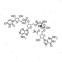 CN(C)C(=O)C[C@H]1[C@@H](O)[C@H](n2c[n+](C)c3c(=O)[nH]c(N)nc32)O[C@@H]1COP(=O)(O)OP(=O)(O)OP(=O)(O)OC[C@H]1O[C@@H](n2cnc3c(N)ncnc32)C[C@@H]1OP(=O)(O)OC[C@H]1O[C@@H](n2ccc(=O)[nH]c2=O)[C@H](O)[C@@H]1O